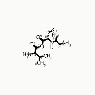 CC(C)C(N)C(=O)OC(=O)[C@H](CS)NC(=O)CN